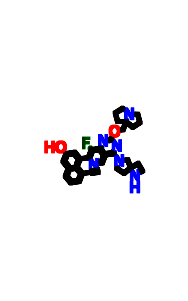 C#Cc1cccc2cc(O)cc(-c3ncc4c(N5CCC6(CCN6)C5)nc(OCC56CCCN5CCC6)nc4c3F)c12